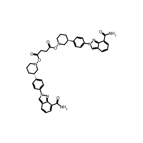 NC(=O)c1cccc2cn(-c3ccc([C@@H]4CCCN(OC(=O)CCC(=O)ON5CCC[C@@H](c6ccc(-n7cc8cccc(C(N)=O)c8n7)cc6)C5)C4)cc3)nc12